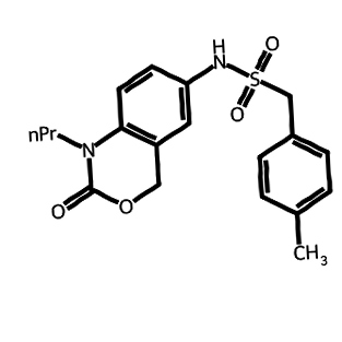 CCCN1C(=O)OCc2cc(NS(=O)(=O)Cc3ccc(C)cc3)ccc21